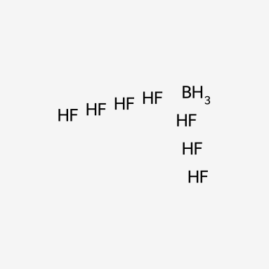 B.F.F.F.F.F.F.F